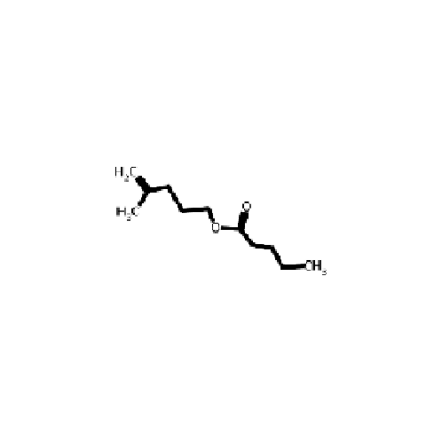 C=C(C)CCCOC(=O)CCCC